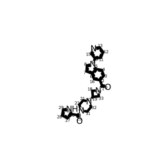 O=C(c1ccc2c(ccn2-c2cccnc2)c1)N1CC(N2CCN(C(=O)c3ccc[nH]3)CC2)C1